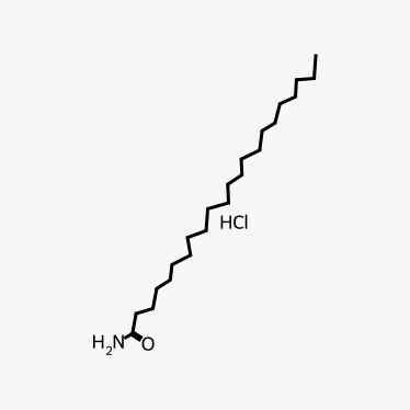 CCCCCCCCCCCCCCCCCCCCCC(N)=O.Cl